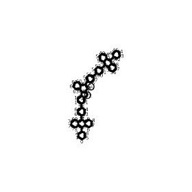 c1ccc(-c2c3ccccc3c(-c3ccc(-c4ccc5c(c4)oc4c6oc7cc(-c8ccc(-c9c%10ccccc%10c(-c%10ccccc%10)c%10ccccc9%10)cc8)ccc7c6c6ccccc6c54)cc3)c3ccccc23)cc1